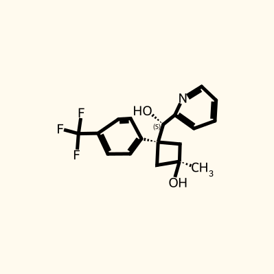 C[C@]1(O)C[C@@](c2ccc(C(F)(F)F)cc2)([C@H](O)c2ccccn2)C1